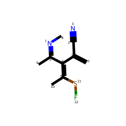 C=C(C#N)C(/C(C)=N\C)=C(/C)SF